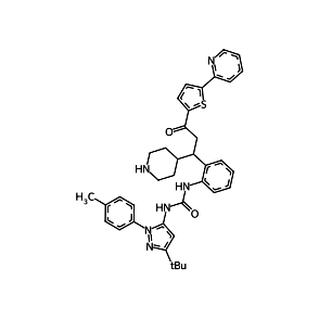 Cc1ccc(-n2nc(C(C)(C)C)cc2NC(=O)Nc2ccccc2C(CC(=O)c2ccc(-c3ccccn3)s2)C2CCNCC2)cc1